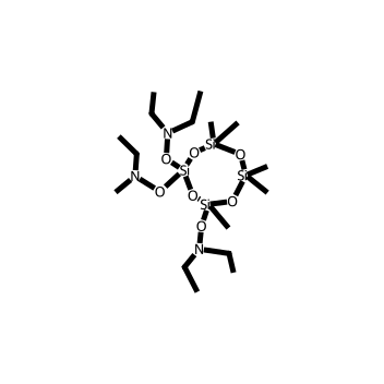 CCN(C)O[Si]1(ON(CC)CC)O[Si](C)(C)O[Si](C)(C)O[Si](C)(ON(CC)CC)O1